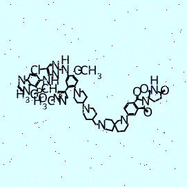 COc1cc(N2CCC(N3CCC(CN4CCC5(CCCN(c6ccc7c(c6)C(=O)N(C6CCC(=O)NC6=O)C7=O)C5)CC4)CC3)CC2)c(-c2cnn(C)c2)cc1Nc1ncc(Cl)c(Nc2ccc3nccnc3c2P(C)(C)=O)n1